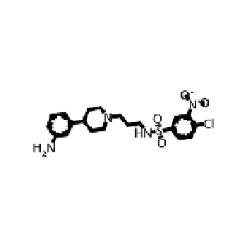 Nc1cccc(C2CCN(CCCNS(=O)(=O)c3ccc(Cl)c([N+](=O)[O-])c3)CC2)c1